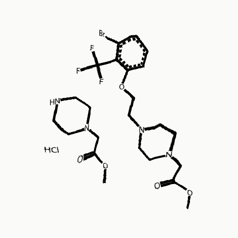 COC(=O)CN1CCN(CCOc2cccc(Br)c2C(F)(F)F)CC1.COC(=O)CN1CCNCC1.Cl